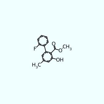 COC(=O)c1c(O)cc(C)cc1-c1ccccc1F